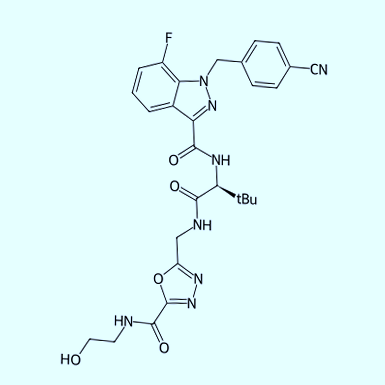 CC(C)(C)[C@H](NC(=O)c1nn(Cc2ccc(C#N)cc2)c2c(F)cccc12)C(=O)NCc1nnc(C(=O)NCCO)o1